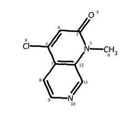 Cn1c(=O)cc(Cl)c2ccncc21